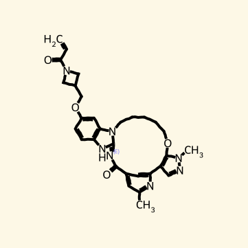 C=CC(=O)N1CC(COc2ccc3c(c2)N2CCCCCOc4c(cnn4C)-c4cc(cc(C)n4)C(=O)/N=C/2N3)C1